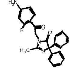 CC1=NC(c2ccccc2)(c2ccccc2)C(=O)N1CC(=O)c1ccc(N)cc1F